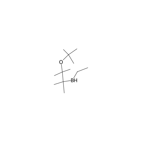 CCBC(C)(C)C(C)(C)OC(C)(C)C